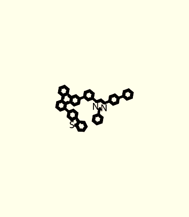 c1ccc(-c2ccc(-c3cc(-c4cccc(-c5ccc6c(c5)c5ccccc5c5cccc(-c7ccc8c(c7)sc7ccccc78)c56)c4)nc(-c4ccccc4)n3)cc2)cc1